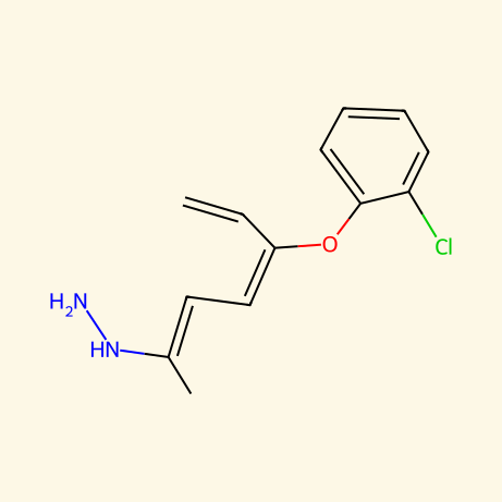 C=C/C(=C\C=C(/C)NN)Oc1ccccc1Cl